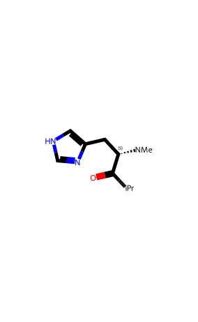 CN[C@@H](Cc1c[nH]cn1)C(=O)C(C)C